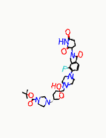 CC(C)(C)OC(=O)N1CCN(C[C@@H]2CC[C@](O)(CN3CCN(c4ccc5c(c4F)CN(C4CCC(=O)NC4=O)C5=O)CC3)OC2)CC1